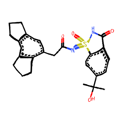 CC(C)(O)c1ccc2c(c1)S(=O)(=NC(=O)Cc1cc3c(c4c1CCC4)CCC3)NC2=O